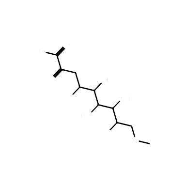 COCC(O)C(O)C(O)C(O)C(O)CC(=O)C(=O)O